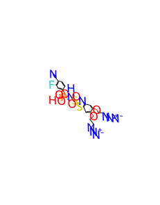 N#Cc1ccc(OP(=O)(O)CNS(=O)(=O)c2nc3cc(OCCN=[N+]=[N-])c(OCCN=[N+]=[N-])cc3s2)cc1F